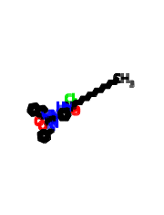 CCCCCCCCCCCCC(Cl)C(=O)Nc1cccc(NC2=NN(Cc3ccccc3)C(=O)C2n2ccc3ccccc3c2=O)c1